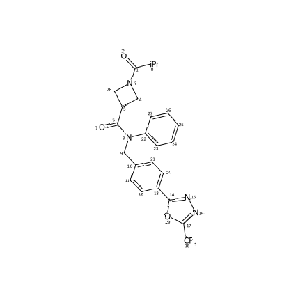 CC(C)C(=O)N1CC(C(=O)N(Cc2ccc(-c3nnc(C(F)(F)F)o3)cc2)c2ccccc2)C1